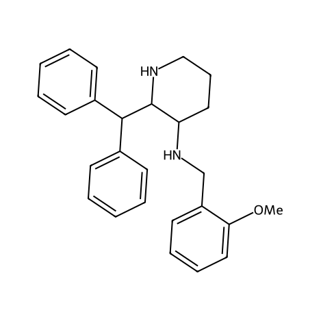 COc1ccccc1CNC1CCCNC1C(c1ccccc1)c1ccccc1